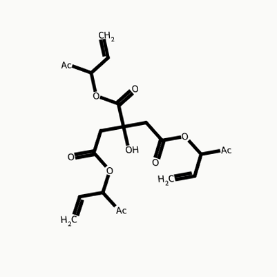 C=CC(OC(=O)CC(O)(CC(=O)OC(C=C)C(C)=O)C(=O)OC(C=C)C(C)=O)C(C)=O